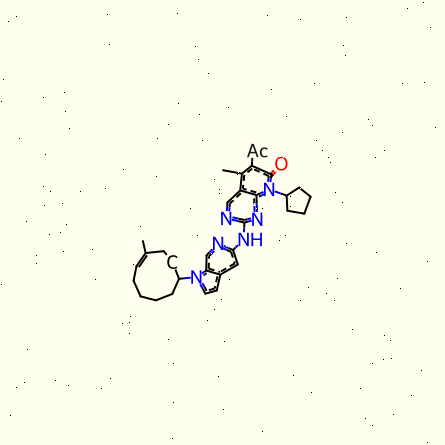 CC(=O)c1c(C)c2cnc(Nc3cc4ccn(C5CCCC/C=C(/C)CC5)c4cn3)nc2n(C2CCCC2)c1=O